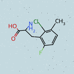 Cc1ccc(F)c(CC(N)C(=O)O)c1Cl